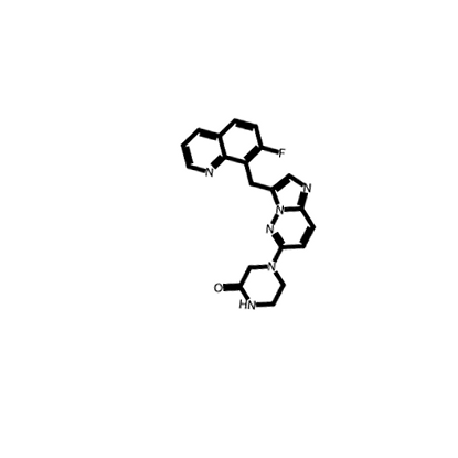 O=C1CN(c2ccc3ncc(Cc4c(F)ccc5cccnc45)n3n2)CCN1